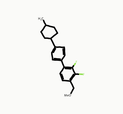 COCc1ccc(-c2ccc(C3CCC(C)CC3)cc2)c(F)c1F